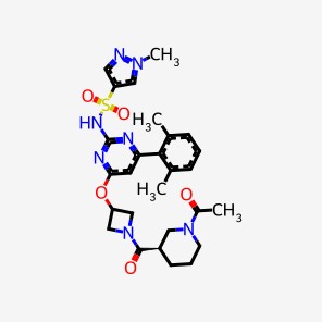 CC(=O)N1CCC[C@@H](C(=O)N2CC(Oc3cc(-c4c(C)cccc4C)nc(NS(=O)(=O)c4cnn(C)c4)n3)C2)C1